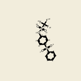 O=S(=O)(c1ccccc1)c1ccc(OS(=O)(=O)C(F)(F)F)cc1